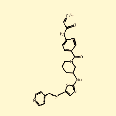 C=CC(=O)Nc1ccc(C(=O)N2CCCC(Nc3ncc(SCc4ccncc4)s3)C2)cc1